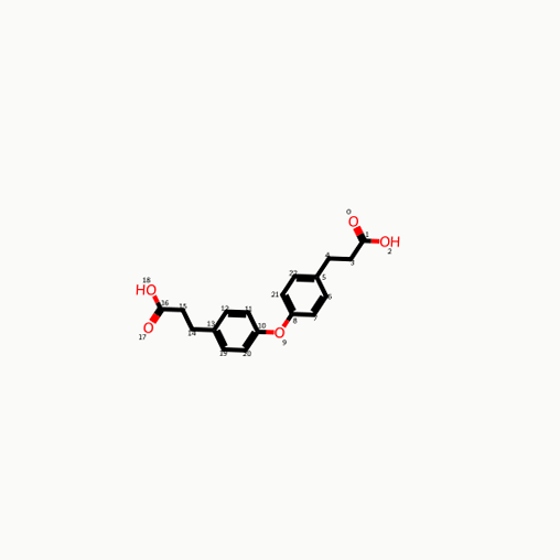 O=C(O)CCc1ccc(Oc2ccc(CCC(=O)O)cc2)cc1